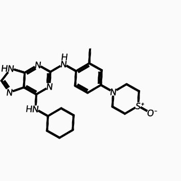 Cc1cc(N2CC[S+]([O-])CC2)ccc1Nc1nc(NC2CCCCC2)c2nc[nH]c2n1